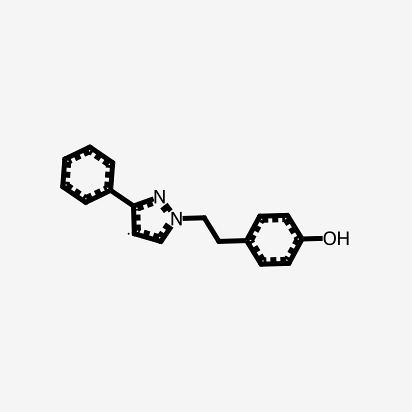 Oc1ccc(CCn2c[c]c(-c3ccccc3)n2)cc1